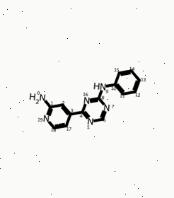 Nc1cc(-c2ncnc(Nc3ccccc3)n2)ccn1